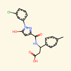 Cc1ccc(C(CC(=O)O)NC(=O)c2cc(O)n(-c3cccc(Cl)c3)n2)cc1